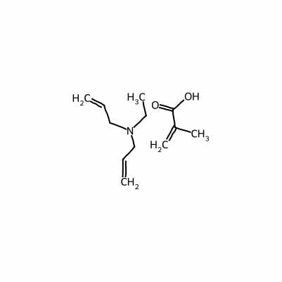 C=C(C)C(=O)O.C=CCN(CC)CC=C